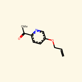 C=CCOc1ccc(C(=O)OC)nc1